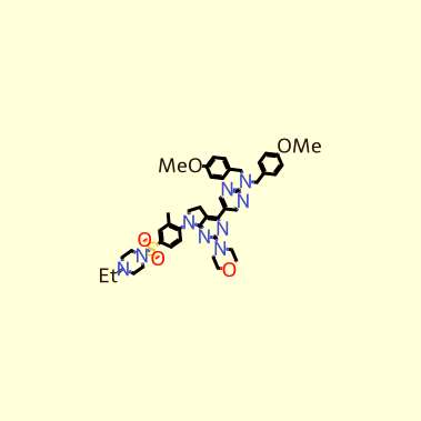 CCN1CCN(S(=O)(=O)c2ccc(N3CCc4c(-c5cnc(N(Cc6ccc(OC)cc6)Cc6ccc(OC)cc6)nc5)nc(N5CCOCC5)nc43)c(C)c2)CC1